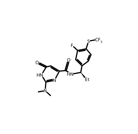 CC[C@@H](NC(=O)c1cc(=O)[nH]c(N(C)C)n1)c1ccc(SC(F)(F)F)c(F)c1